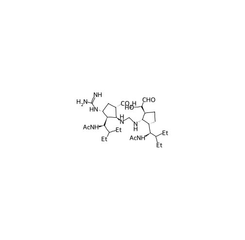 CCC(CC)[C@@H](NC(C)=O)[C@H]1CC[C@H](C(O)C=O)[C@H]1NCN[C@H]1[C@@H]([C@H](NC(C)=O)C(CC)CC)[C@H](NC(=N)N)C[C@@H]1C(=O)O